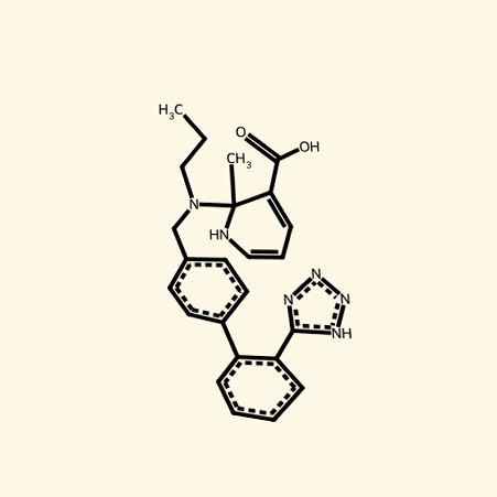 CCCN(Cc1ccc(-c2ccccc2-c2nnn[nH]2)cc1)C1(C)NC=CC=C1C(=O)O